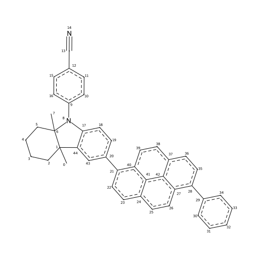 CC12CCCCC1(C)N(c1ccc(C#N)cc1)c1ccc(-c3ccc4ccc5c(-c6ccccc6)ccc6ccc3c4c65)cc12